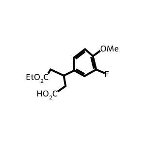 CCOC(=O)CC(CC(=O)O)c1ccc(OC)c(F)c1